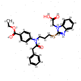 CCOC(=O)c1ccc(N(CCCSc2nc3ccccc3n2CC(=O)O)C(=O)Cc2ccccc2)cc1